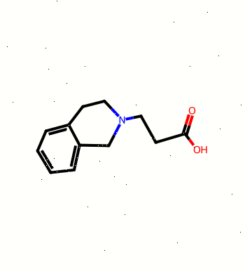 O=C(O)CCN1CCc2ccccc2C1